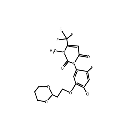 Cn1c(C(F)(F)F)cc(=O)n(-c2cc(OCCC3OCCCO3)c(Cl)cc2F)c1=O